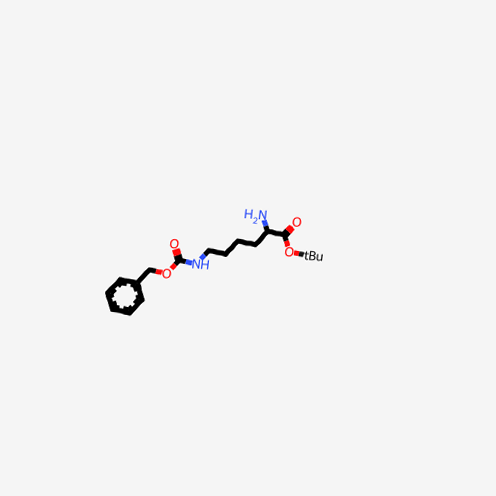 CC(C)(C)OC(=O)C(N)CCCCNC(=O)OCc1ccccc1